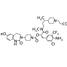 COc1ccc2c(c1)CCN(C1CCN(C(=O)O[C@H](Cc3cc(Cl)c(N)c(C(F)(F)F)c3)C(=O)N(C)CCC(C)C3CCN(CCC(=O)O)CC3)CC1)C(=O)N2